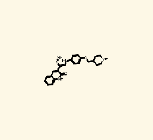 CN1CCC(COc2ccc(N/C=C(\N=N)c3cc4ccccc4[nH]c3=O)cc2)CC1